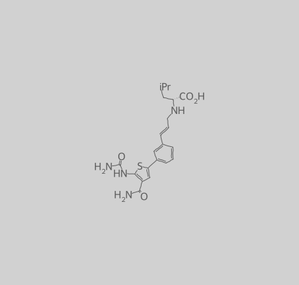 CC(C)C[C@@H](NC/C=C/c1cccc(-c2cc(C(N)=O)c(NC(N)=O)s2)c1)C(=O)O